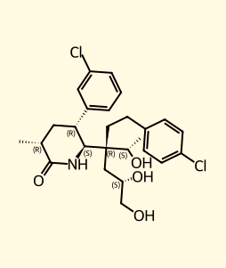 C[C@@H]1C[C@H](c2cccc(Cl)c2)[C@@H]([C@@](CCc2ccc(Cl)cc2)(C[C@H](O)CO)[C@H](C)O)NC1=O